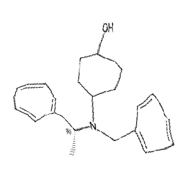 C[C@H](c1ccccc1)N(Cc1ccccc1)C1CCC(O)CC1